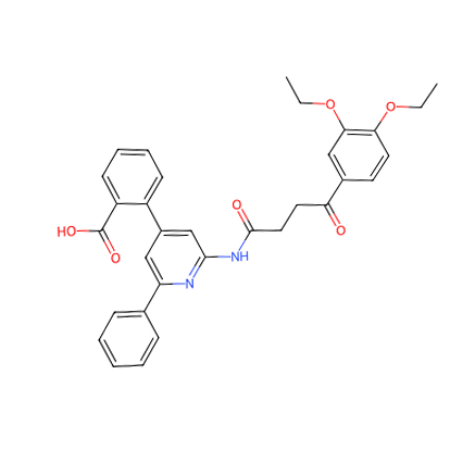 CCOc1ccc(C(=O)CCC(=O)Nc2cc(-c3ccccc3C(=O)O)cc(-c3ccccc3)n2)cc1OCC